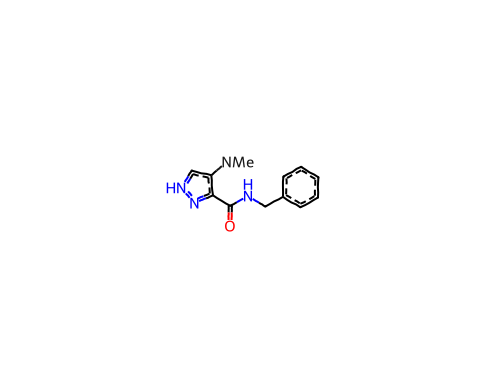 CNc1c[nH]nc1C(=O)NCc1ccccc1